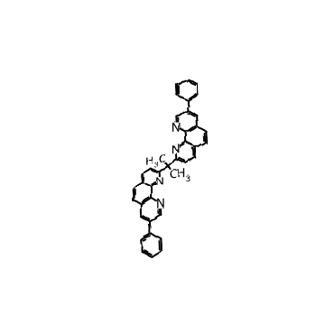 CC(C)(c1ccc2ccc3cc(-c4ccccc4)cnc3c2n1)c1ccc2ccc3cc(-c4ccccc4)cnc3c2n1